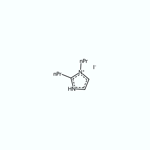 CCCc1[nH]cc[n+]1CCC.[I-]